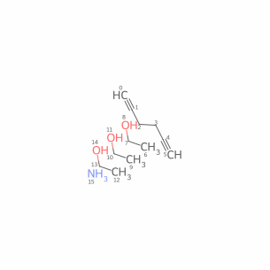 C#CCCC#C.CCO.CCO.CCO.N